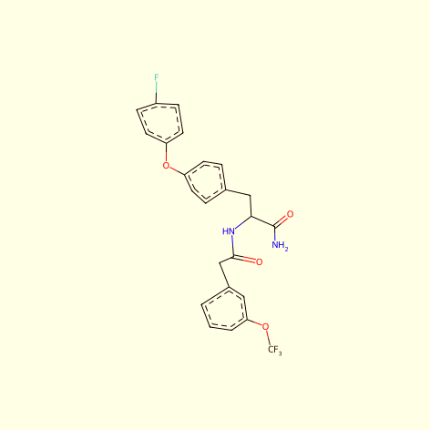 NC(=O)C(Cc1ccc(Oc2ccc(F)cc2)cc1)NC(=O)Cc1cccc(OC(F)(F)F)c1